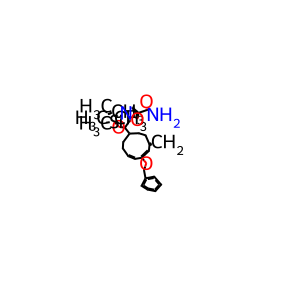 C=C1/C=C(OCc2ccccc2)\C=C/CCC(C(O[Si](C)(C)C(C)(C)C)c2ncc(C(N)=O)o2)CC1